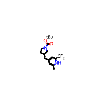 CC1=CC(CC2CCN(C(=O)OC(C)(C)C)C2)=CC(C(F)(F)F)N1